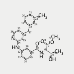 COC(=O)[C@@H](NC(=O)c1cccc(Nc2cc(Cc3cccc(C)c3)ccn2)c1)[C@@H](C)O